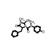 CN(C(=O)N1C(Cc2ccccc2)C(=O)N(C)C1C(C)(C)C)c1ccc(Cl)cc1